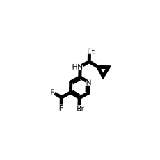 CCC(Nc1cc(C(F)F)c(Br)cn1)C1CC1